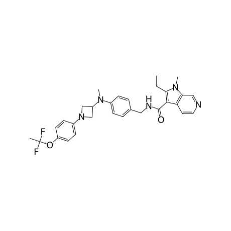 CCc1c(C(=O)NCc2ccc(N(C)C3CN(c4ccc(OC(C)(F)F)cc4)C3)cc2)c2ccncc2n1C